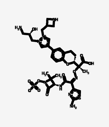 CC1(C)[C@H](NC(=O)/C(=N\O[C@](C)(C(=O)O)[C@H]2CCc3cc(-c4cn(C[C@@H](O)CN)[n+](CC5CNC5)c4)ccc3O2)c2csc(N)n2)C(=O)N1OS(=O)(=O)[O-]